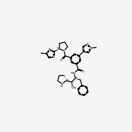 Cc1csc([C@H]2CCCN2C(=O)c2cc(C(=O)N[C@@H](Cc3ccccc3)[C@@H](O)[C@H]3CCCN3)cc(-c3cnn(C)c3)c2)n1